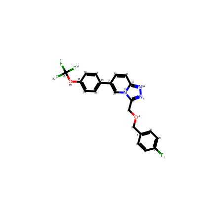 Fc1ccc(COCc2nnc3ccc(-c4ccc(OC(F)(F)F)cc4)cn23)cc1